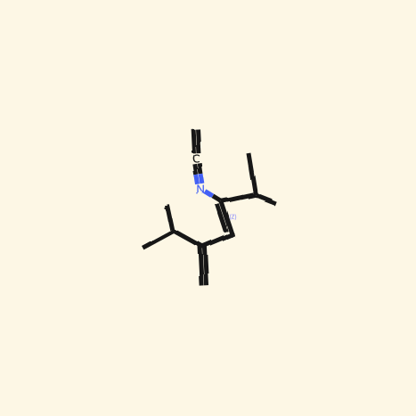 C=C=N/C(=C\C(=C)C(C)C)C(C)C